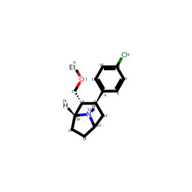 CCOC[C@@H]1[C@@H](c2ccc(Cl)cc2)CC2CC[C@H]1N2C